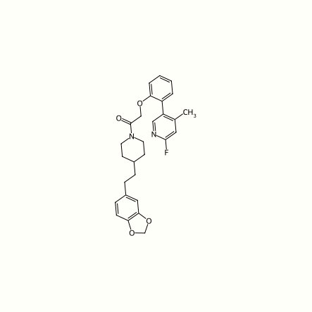 Cc1cc(F)ncc1-c1ccccc1OCC(=O)N1CCC(CCc2ccc3c(c2)OCO3)CC1